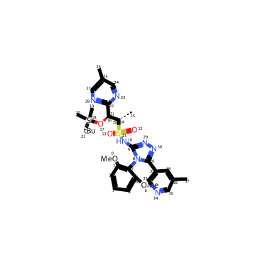 COc1cccc(OC)c1-n1c(NS(=O)(=O)[C@@H](C)[C@@H](O[Si](C)(C)C(C)(C)C)c2ncc(C)cn2)nnc1-c1cncc(C)c1